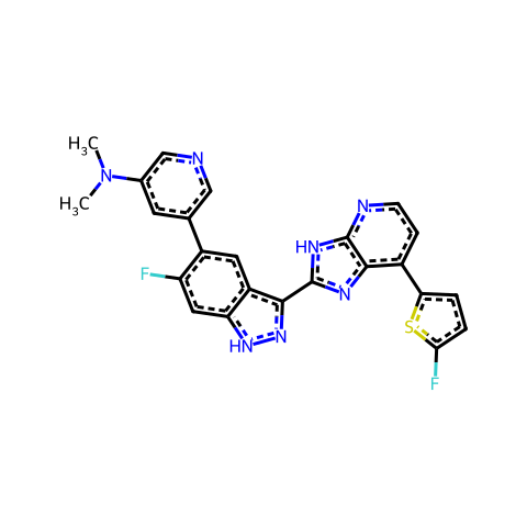 CN(C)c1cncc(-c2cc3c(-c4nc5c(-c6ccc(F)s6)ccnc5[nH]4)n[nH]c3cc2F)c1